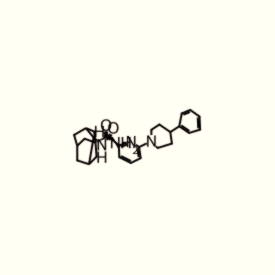 NC(=O)[C@]12CC3CC(C1)[C@@H](NC(=O)c1cccc(N4CCC(c5ccccc5)CC4)n1)C(C3)C2